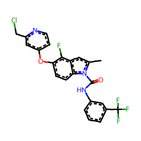 Cc1cc2c(F)c(Oc3ccnc(CCl)c3)ccc2n1C(=O)Nc1cccc(C(F)(F)F)c1